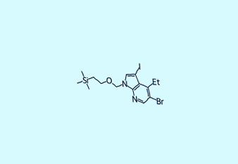 CCc1c(Br)cnc2c1c(I)cn2COCC[Si](C)(C)C